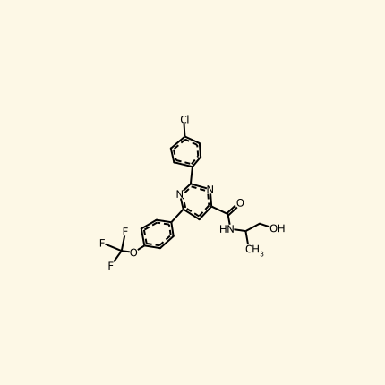 CC(CO)NC(=O)c1cc(-c2ccc(OC(F)(F)F)cc2)nc(-c2ccc(Cl)cc2)n1